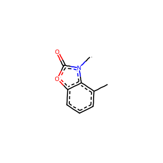 [CH2]n1c(=O)oc2cccc(C)c21